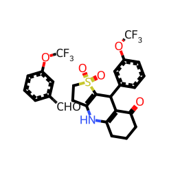 O=C1CCCC2=C1C(c1cccc(OC(F)(F)F)c1)C1=C(CCS1(=O)=O)N2.O=Cc1cccc(OC(F)(F)F)c1